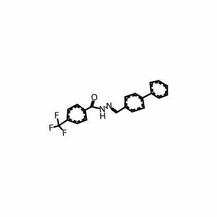 O=C(NN=Cc1ccc(-c2ccccc2)cc1)c1ccc(C(F)(F)F)cc1